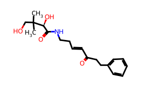 CC(C)(CO)[C@@H](O)C(=O)NCC/C=C/C(=O)CCc1ccccc1